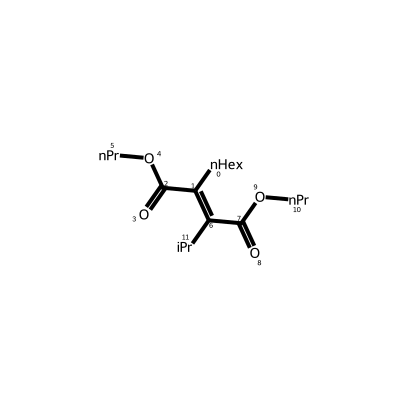 CCCCCCC(C(=O)OCCC)=C(C(=O)OCCC)C(C)C